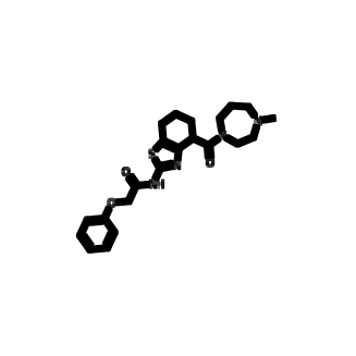 CN1CCCN(C(=O)C2CCCc3sc(NC(=O)COc4ccccc4)nc32)CC1